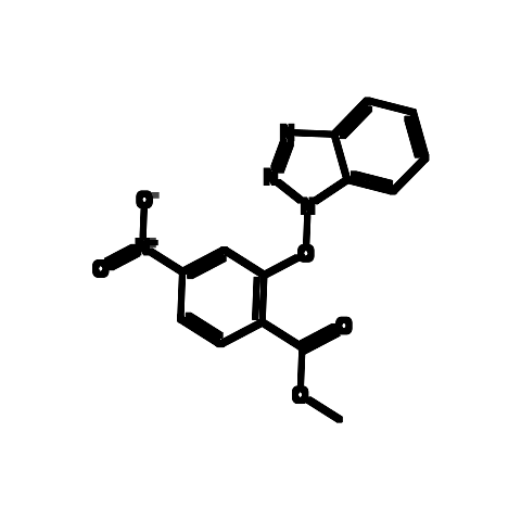 COC(=O)c1ccc([N+](=O)[O-])cc1On1nnc2ccccc21